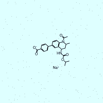 CC(=O)N1c2ccc(-c3ccc(C(=O)[O-])cc3)cc2C(NC(=O)OC(C)C)CC1C.[Na+]